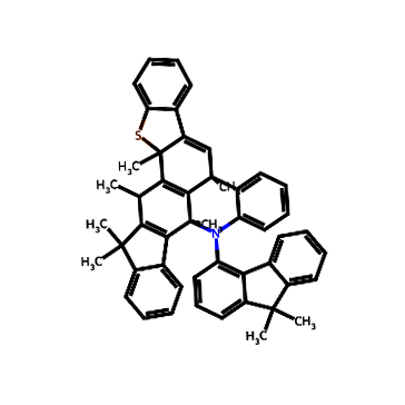 CC1C2=C3C(C)(C=C4c5ccccc5SC42C)c2ccccc2N(c2cccc4c2-c2ccccc2C4(C)C)C3(C)C2=C1C(C)(C)c1ccccc12